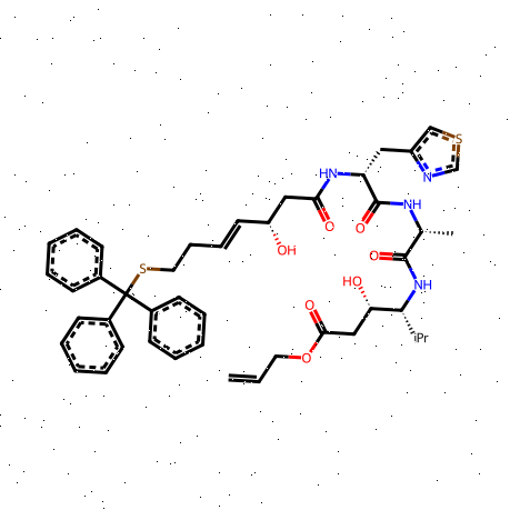 C=CCOC(=O)C[C@H](O)[C@H](NC(=O)[C@@H](C)NC(=O)[C@@H](Cc1cscn1)NC(=O)C[C@H](O)C=CCCSC(c1ccccc1)(c1ccccc1)c1ccccc1)C(C)C